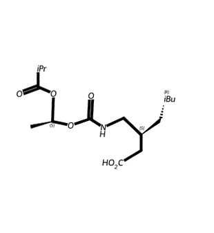 CC[C@@H](C)C[C@H](CNC(=O)O[C@@H](C)OC(=O)C(C)C)CC(=O)O